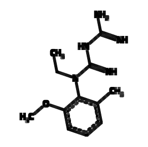 CCN(C(=N)NC(=N)N)c1c(C)cccc1OC